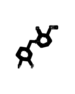 O=Cc1cccn(Cc2ccc(F)c(F)c2)c1=O